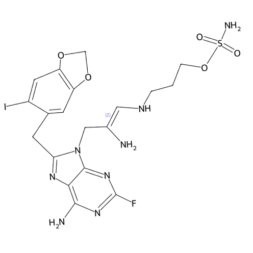 N/C(=C\NCCCOS(N)(=O)=O)Cn1c(Cc2cc3c(cc2I)OCO3)nc2c(N)nc(F)nc21